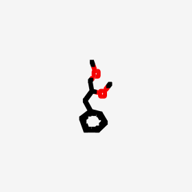 COCC(Cc1ccccc1)OC